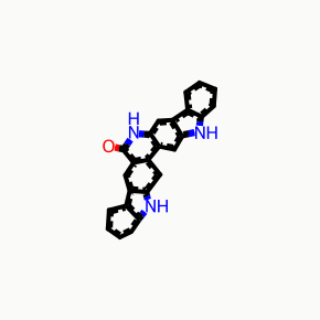 O=c1[nH]c2cc3c(cc2c2cc4[nH]c5ccccc5c4cc12)[nH]c1ccccc13